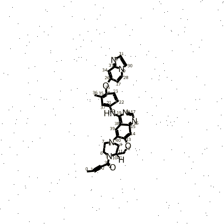 CC#CC(=O)N1CCN2C[C@@H]1COc1cc3ncnc(Nc4ccc(Oc5ccn6ccnc6c5)c(C)c4)c3cc12